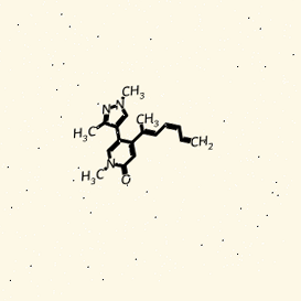 C=C/C=C\C=C(/C)c1cc(=O)n(C)cc1-c1cn(C)nc1C